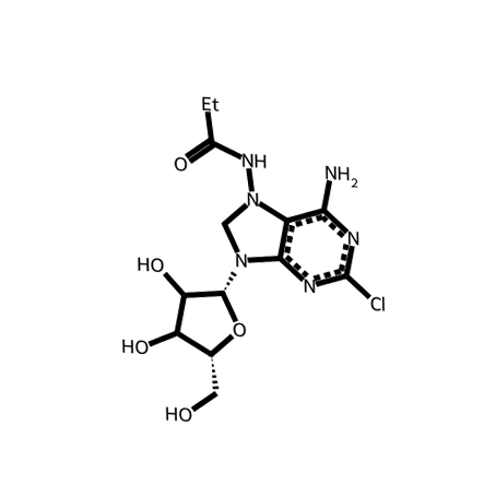 CCC(=O)NN1CN([C@@H]2O[C@H](CO)C(O)C2O)c2nc(Cl)nc(N)c21